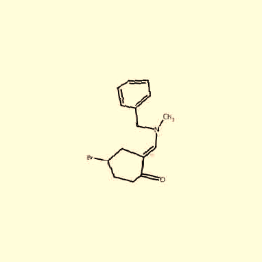 CN(/C=C1\CC(Br)CCC1=O)Cc1ccccc1